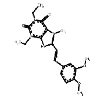 CCn1c2c(c(=O)n(CC)c1=O)N(C)C(/C=C/c1ccc(OC)c(OC)c1)N2